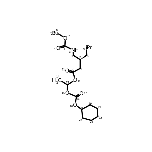 CC(C)C[C@H](CNC(=O)OC(C)(C)C)CC(=O)OC(C)OC(=O)OC1CCCCC1